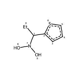 CCC(c1cccs1)N(O)O